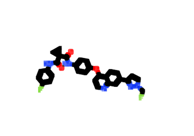 O=C(Nc1ccc(F)cc1)C1(C(=O)Nc2ccc(Oc3ccnc4cc(-c5ccn(CF)n5)ccc34)cc2)CC1